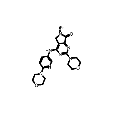 CC(C)N1Cc2c(Nc3ccc(N4CCOCC4)nc3)nc(N3CCOCC3)nc2C1=O